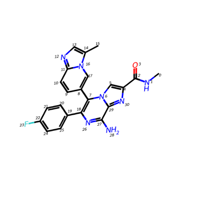 CNC(=O)c1cn2c(-c3ccc4ncc(C)n4c3)c(-c3ccc(F)cc3)nc(N)c2n1